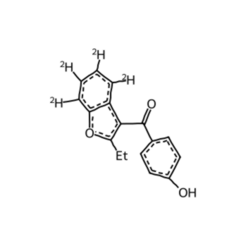 [2H]c1c([2H])c([2H])c2c(C(=O)c3ccc(O)cc3)c(CC)oc2c1[2H]